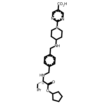 CC(C)C[C@H](NCc1ccc(CNC2CCN(c3ncc(C(=O)O)cn3)CC2)cc1)C(=O)OC1CCCC1